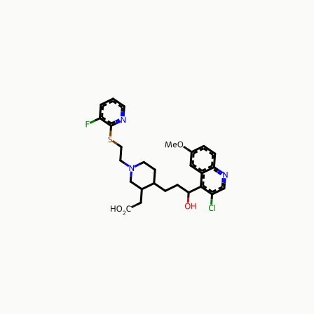 COc1ccc2ncc(Cl)c(C(O)CCC3CCN(CCSc4ncccc4F)CC3CC(=O)O)c2c1